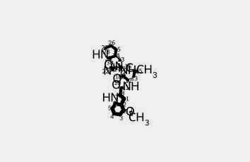 COc1cccc2[nH]c(C(=O)N[C@@H](CC(C)C)C(=O)NN(C#N)C[C@@H]3CCCNC3=O)cc12